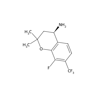 CC1(C)C[C@@H](N)c2ccc(C(F)(F)F)c(F)c2O1